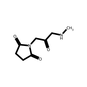 CNCC(=O)CN1C(=O)CCC1=O